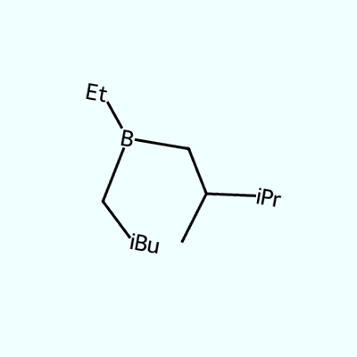 CCB(CC(C)CC)CC(C)C(C)C